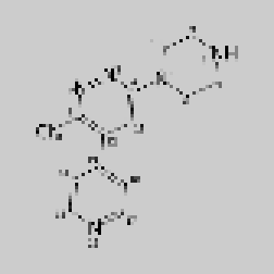 Clc1nnc(N2CCNCC2)cc1-c1ccncc1